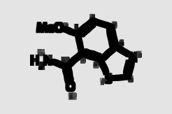 COc1ccc2ncsc2c1C(N)=O